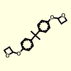 CC(C)(c1ccc(OC2CCO2)cc1)c1ccc(OC2CCO2)cc1